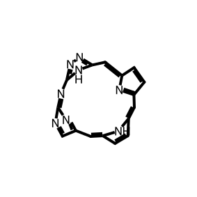 C1=Cc2cc3nnc(nc4nc(cc5ccc(cc1n2)[nH]5)C=N4)[nH]3